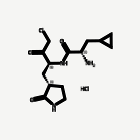 Cl.N[C@@H](CC1CC1)C(=O)N[C@@H](C[C@@H]1CCNC1=O)C(=O)CCl